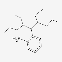 CCCC(CC)C(c1ccccc1P)C(CC)CCC